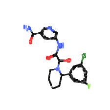 NC(=O)c1cncc(NC(=O)C(=O)N2CCCCC2c2cc(F)cc(Cl)c2)c1